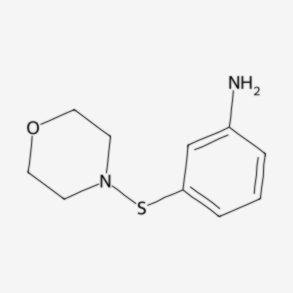 Nc1cccc(SN2CCOCC2)c1